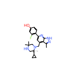 Cc1n[nH]c2nc(-c3ccc(O)cc3F)cc(CN3CC(C)(C)NC[C@]3(C)C3CC3)c12